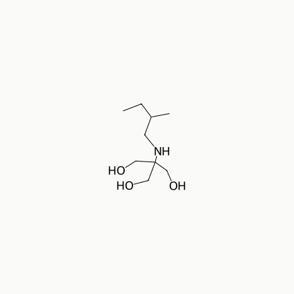 CCC(C)CNC(CO)(CO)CO